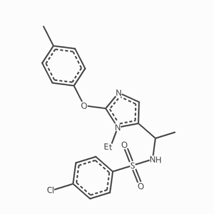 CCn1c(C(C)NS(=O)(=O)c2ccc(Cl)cc2)cnc1Oc1ccc(C)cc1